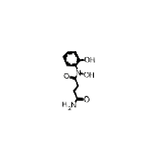 NC(=O)CCC(=O)N(O)c1ccccc1O